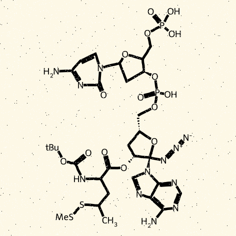 CSSC(C)CC(NC(=O)OC(C)(C)C)C(=O)O[C@@H]1C[C@H](COP(=O)(O)O[C@H]2CC(n3ccc(N)nc3=O)OC2COP(=O)(O)O)O[C@@]1(N=[N+]=[N-])n1cnc2c(N)ncnc21